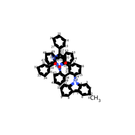 Cc1ccc2c(c1)c1ccccc1n2-c1cccc(-c2cc(-c3ccccc3)nc(-c3ccccc3)n2)c1-c1ccccc1-n1c2ccccc2c2ccccc21